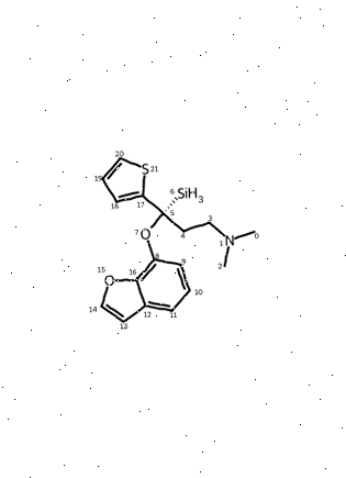 CN(C)CC[C@@]([SiH3])(Oc1cccc2ccoc12)c1cccs1